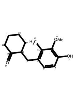 COc1c(O)ccc(CC2CCCCC2=O)c1C